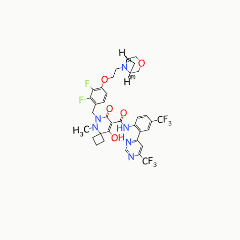 CN1N(Cc2ccc(OCCN3[C@@H]4COC[C@H]3C4)c(F)c2F)C(=O)C(C(=O)Nc2ccc(C(F)(F)F)cc2-c2cc(C(F)(F)F)ncn2)=C(O)C12CCC2